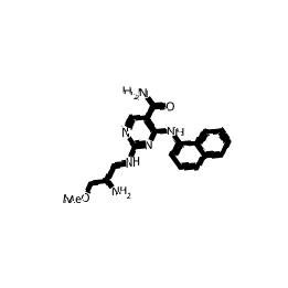 COCC(N)CNc1ncc(C(N)=O)c(Nc2cccc3ccccc23)n1